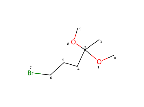 COC(C)(CCCBr)OC